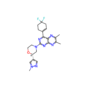 Cc1nc2nc(N3CCO[C@@H](c4cnn(C)c4)C3)nc(C3=CCC(F)(F)CC3)c2nc1C